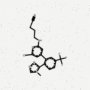 Cn1cnnc1-c1ccc(C(F)(F)F)cc1-c1cc(Cl)nc(NCCCC#N)c1